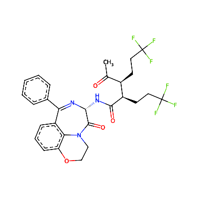 CC(=O)[C@@H](CCC(F)(F)F)[C@@H](CCC(F)(F)F)C(=O)N[C@H]1N=C(c2ccccc2)c2cccc3c2N(CCO3)C1=O